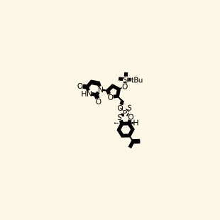 C=C(C)[C@H]1CC[C@@]2(C)S[P@](=S)(OC[C@H]3O[C@@H](n4ccc(=O)[nH]c4=O)C[C@@H]3O[Si](C)(C)C(C)(C)C)O[C@@H]2C1